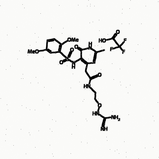 COc1ccc(OC)c(S(=O)(=O)Nc2c(CC(=O)NCCONC(=N)N)cc(C)[nH]c2=O)c1.O=C(O)C(F)(F)F